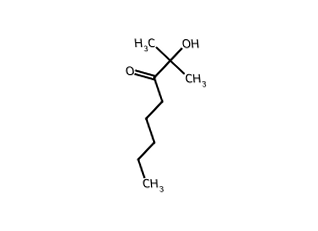 CCCCCC(=O)C(C)(C)O